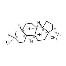 CC(=O)[C@H]1CC[C@H]2[C@@H]3CC[C@H]4C[C@](C)(I)CC[C@@H]4[C@H]3CC[C@]12C